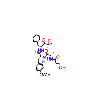 COc1ccc(C[C@H](NC(=O)[C@H](C)NC(=O)CCO)C(=O)N[C@@H](Cc2ccccc2)C(=O)[C@]2(C)CO2)cc1